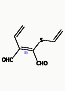 C=CS/C(C=O)=C(\C=C)C=O